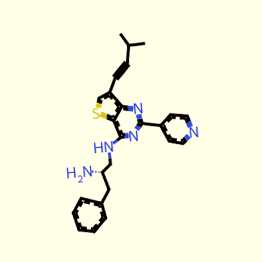 CC(C)C#Cc1csc2c(NC[C@@H](N)Cc3ccccc3)nc(-c3ccncc3)nc12